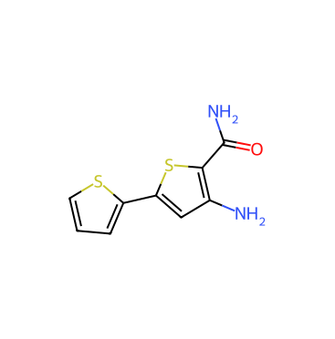 NC(=O)c1sc(-c2cccs2)cc1N